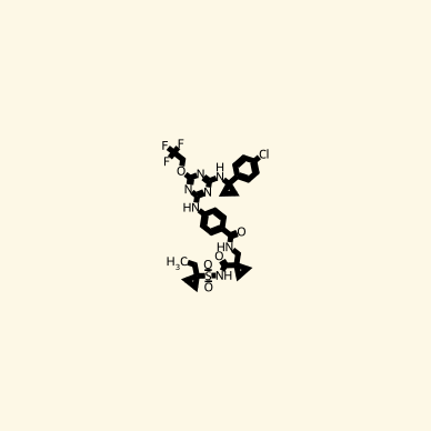 CCC1(S(=O)(=O)NC(=O)C2(CNC(=O)c3ccc(Nc4nc(NC5(c6ccc(Cl)cc6)CC5)nc(OCC(F)(F)F)n4)cc3)CC2)CC1